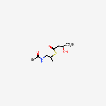 CCOC(=O)C(O)CC(=O)SC(C)CNC(=O)CC